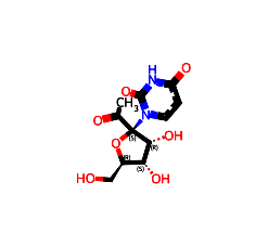 CC(=O)[C@@]1(n2ccc(=O)[nH]c2=O)O[C@H](CO)[C@@H](O)[C@H]1O